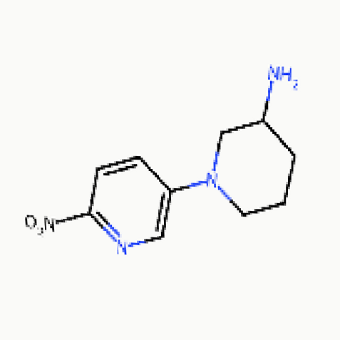 NC1CCCN(c2ccc([N+](=O)[O-])nc2)C1